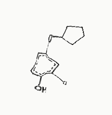 Oc1ccc(OC2CCCC2)cc1Cl